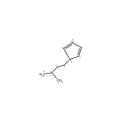 CN(C)CCn1c[c]nc1